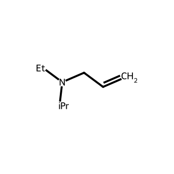 C=CCN(CC)C(C)C